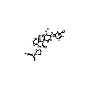 CC#CC(=O)N1CC[C@@H](n2c(=O)n(-c3ccc(Oc4cccc(Cl)c4)c(OC)c3)c3c(N)ncnc32)C1